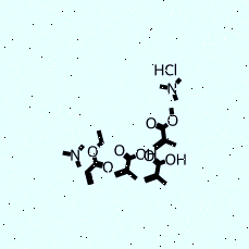 C=C(C)C(=O)O.C=C(C)C(=O)O.C=C(C)C(=O)OC.C=CC(=O)OCC.CN(C)C.CN(C)C.Cl